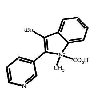 CC(C)(C)C1=C(c2cccnc2)[N+](C)(C(=O)O)c2ccccc21